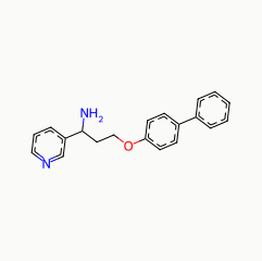 NC(CCOc1ccc(-c2ccccc2)cc1)c1cccnc1